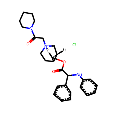 O=C(O[C@H]1C[N+]2(CC(=O)N3CCCCC3)CCC1CC2)C(Nc1ccccc1)c1ccccc1.[Cl-]